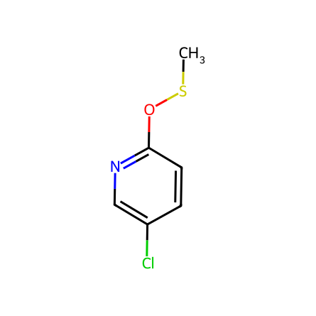 CSOc1ccc(Cl)cn1